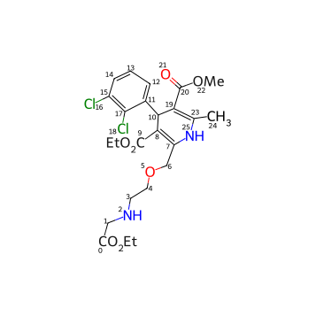 CCOC(=O)CNCCOCC1=C(C(=O)OCC)C(c2cccc(Cl)c2Cl)C(C(=O)OC)=C(C)N1